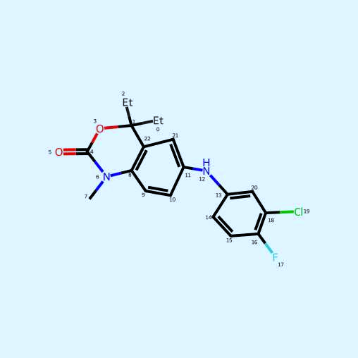 CCC1(CC)OC(=O)N(C)c2ccc(Nc3ccc(F)c(Cl)c3)cc21